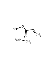 C=CC(=O)OCCC.CNC